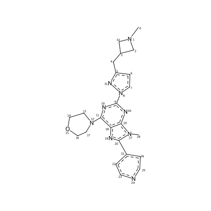 CN1CC(Cc2ccn(-c3nc(N4CCOCC4)c4nc(-c5ccncc5)n(C)c4n3)n2)C1